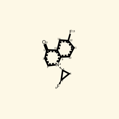 O=c1ccn([C@@H]2C[C@H]2F)c2ccc(F)cc12